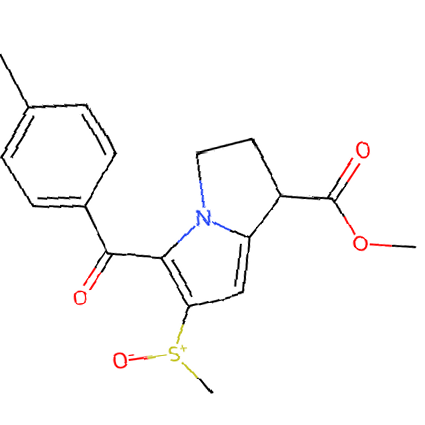 COC(=O)C1CCn2c1cc([S+](C)[O-])c2C(=O)c1ccc(C)cc1